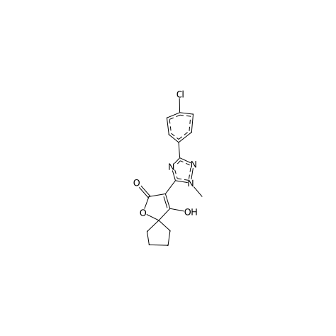 Cn1nc(-c2ccc(Cl)cc2)nc1C1=C(O)C2(CCCC2)OC1=O